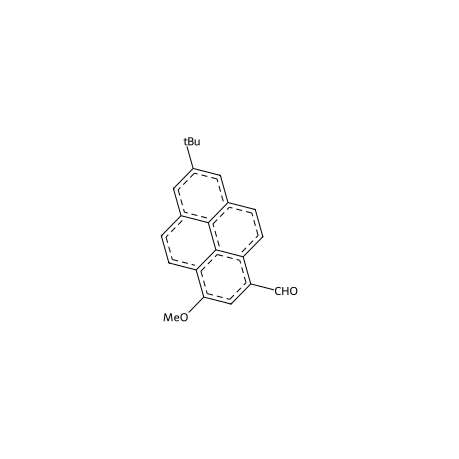 COc1cc(C=O)c2ccc3cc(C(C)(C)C)cc4ccc1c2c34